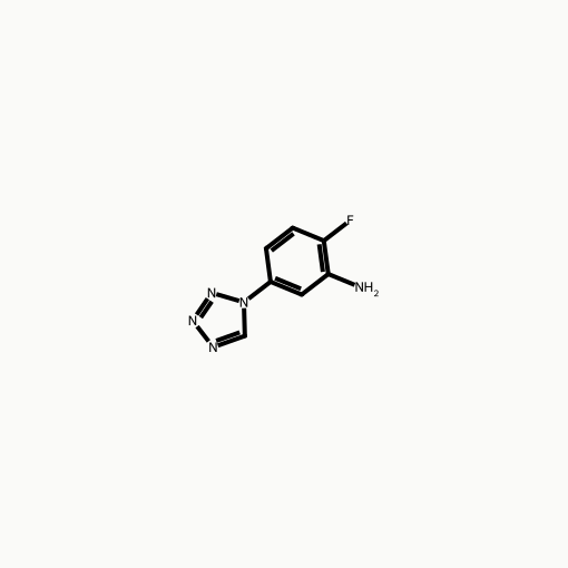 Nc1cc(-n2cnnn2)ccc1F